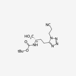 CC(C)(C)OC(=O)N[C@@H](CCc1nnnn1CCC#N)C(=O)O